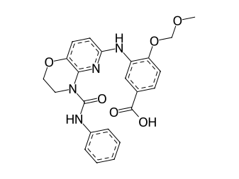 COCOc1ccc(C(=O)O)cc1Nc1ccc2c(n1)N(C(=O)Nc1ccccc1)CCO2